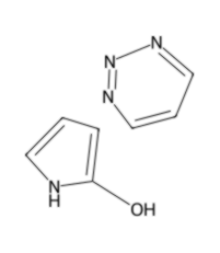 Oc1ccc[nH]1.c1cnnnc1